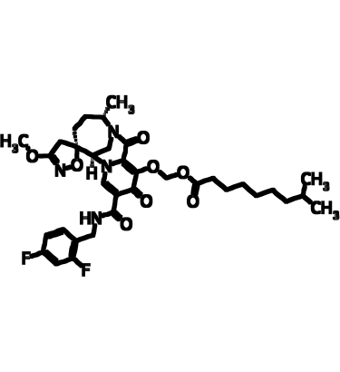 COC1=NO[C@@]2(CC[C@H](C)N3C[C@H]2n2cc(C(=O)NCc4ccc(F)cc4F)c(=O)c(OCOC(=O)CCCCCCC(C)C)c2C3=O)C1